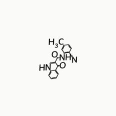 Cc1ccc(C#N)c(NC(=O)c2c[nH]c3ccccc3c2=O)c1